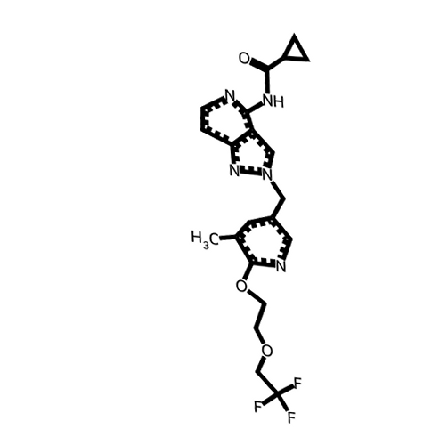 Cc1cc(Cn2cc3c(NC(=O)C4CC4)nccc3n2)cnc1OCCOCC(F)(F)F